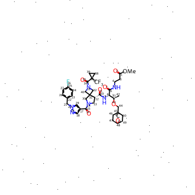 COC(=O)CCNC(=O)[C@@H](NC(=O)[C@@H]1CN(C(=O)c2cnn(Cc3ccc(F)cc3)c2)CC12CN(C(=O)C1(C(F)(F)F)CC1)C2)[C@@H](C)OCC12CCC(CC1)OC2